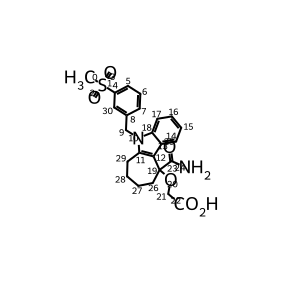 CS(=O)(=O)c1cccc(Cn2c3c(c4ccccc42)C(OCC(=O)O)(C(N)=O)CCCC3)c1